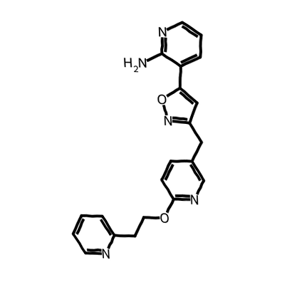 Nc1ncccc1-c1cc(Cc2ccc(OCCc3ccccn3)nc2)no1